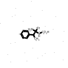 CCC(N)(NC(=O)O)C(C)c1ccccc1